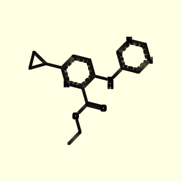 CCOC(=O)c1nc(C2CC2)ccc1Nc1cncnc1